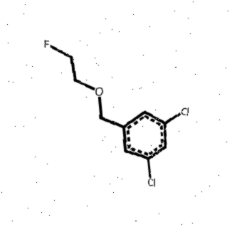 FCCOCc1cc(Cl)cc(Cl)c1